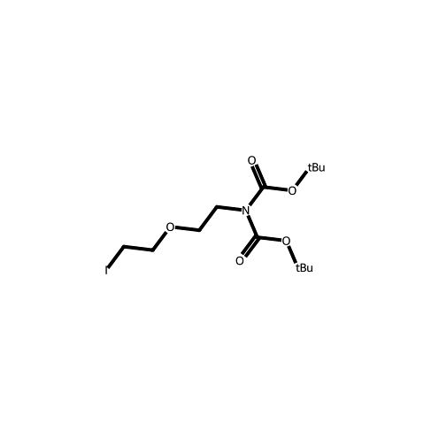 CC(C)(C)OC(=O)N(CCOCCI)C(=O)OC(C)(C)C